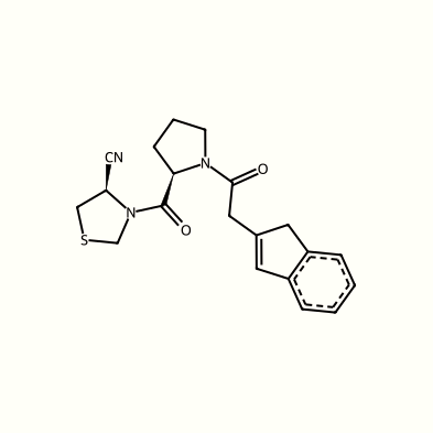 N#C[C@@H]1CSCN1C(=O)[C@H]1CCCN1C(=O)CC1=Cc2ccccc2C1